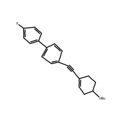 CCCCC1CC=C(C#Cc2ccc(-c3ccc(F)cc3)cc2)CC1